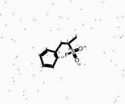 CC(Cc1ccccc1)S(=O)(=O)F